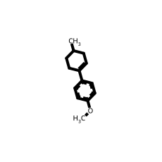 COc1ccc(C2=CCC(C)CC2)cc1